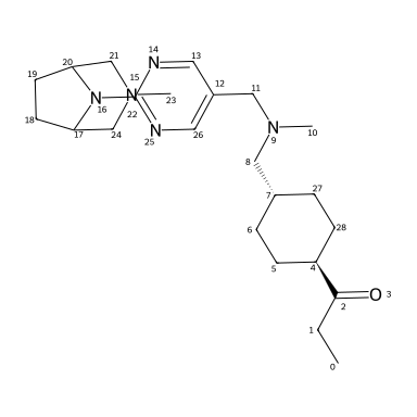 CCC(=O)[C@H]1CC[C@H](CN(C)Cc2cnc(N3C4CCC3CN(C)C4)nc2)CC1